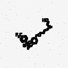 CN(CCO)CCCCOC[C@H]1CC[C@H](CN(C)S(=O)(=O)c2ccc(C(F)(F)F)cc2)CC1